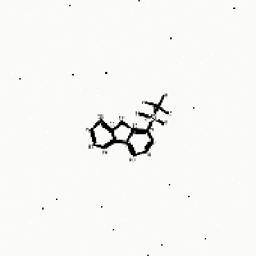 CC(C)(C)[Si](C)(C)c1cccc2c1[C]c1ccccc1-2